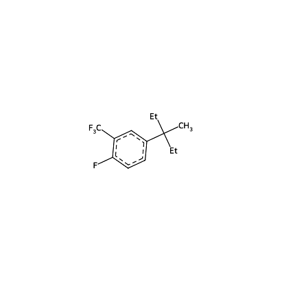 CCC(C)(CC)c1ccc(F)c(C(F)(F)F)c1